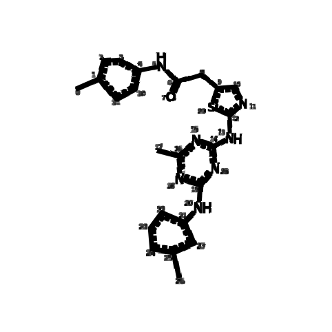 Cc1ccc(NC(=O)Cc2cnc(Nc3nc(C)nc(Nc4cccc(C)c4)n3)s2)cc1